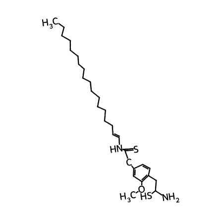 CCCCCCCCCCCCCCCCC=CNC(=S)Cc1ccc(CC(N)S)c(OC)c1